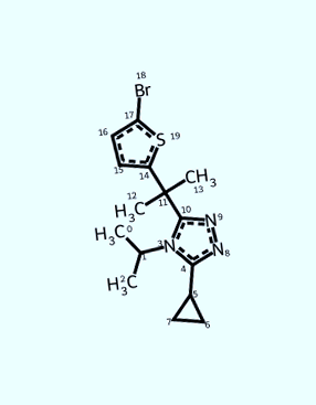 CC(C)n1c(C2CC2)nnc1C(C)(C)c1ccc(Br)s1